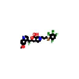 COc1ccc2nccc([C@@H](F)CC[C@@H]3CCN(CCCSc4c(F)cc(F)c(F)c4F)C[C@@H]3C(=O)O)c2c1